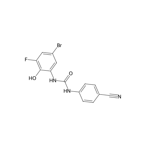 N#Cc1ccc(NC(=O)Nc2cc(Br)cc(F)c2O)cc1